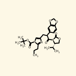 CCCc1nc(CC(C(=O)N2C(=O)OC[C@@H]2C(C)C)c2ccc3c(c2)OCO3)cn1C(=O)OC(C)(C)C